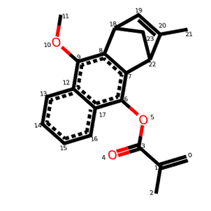 C=C(C)C(=O)Oc1c2c(c(OC)c3ccccc13)C1C=C(C)C2C1